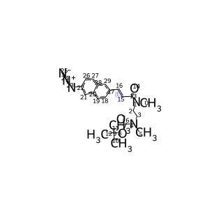 CN(CCN(C)C(=O)OC(C)(C)C)C(=O)/C=C/c1ccc2cc(N=[N+]=[N-])ccc2c1